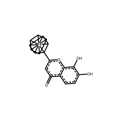 O=c1cc([C]23[CH]4[CH]5[CH]6[CH]2[Fe]56432789[CH]3[CH]2[CH]7[CH]8[CH]39)oc2c(O)c(O)ccc12